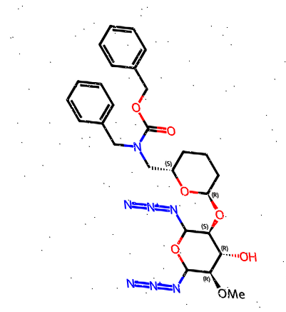 CO[C@H]1C(N=[N+]=[N-])OC(N=[N+]=[N-])[C@@H](O[C@@H]2CCC[C@@H](CN(Cc3ccccc3)C(=O)OCc3ccccc3)O2)[C@@H]1O